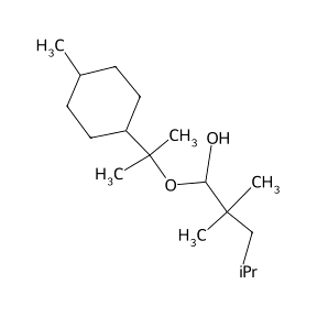 CC(C)CC(C)(C)C(O)OC(C)(C)C1CCC(C)CC1